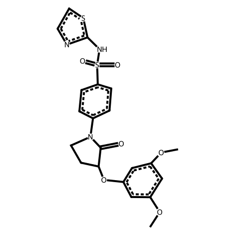 COc1cc(OC)cc(OC2CCN(c3ccc(S(=O)(=O)Nc4nccs4)cc3)C2=O)c1